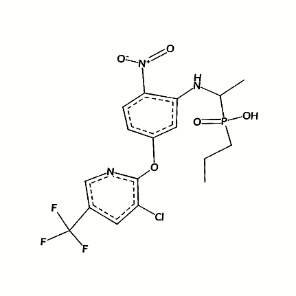 CCCP(=O)(O)C(C)Nc1cc(Oc2ncc(C(F)(F)F)cc2Cl)ccc1[N+](=O)[O-]